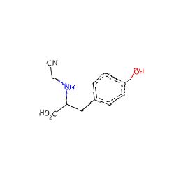 N#CCNC(Cc1ccc(O)cc1)C(=O)O